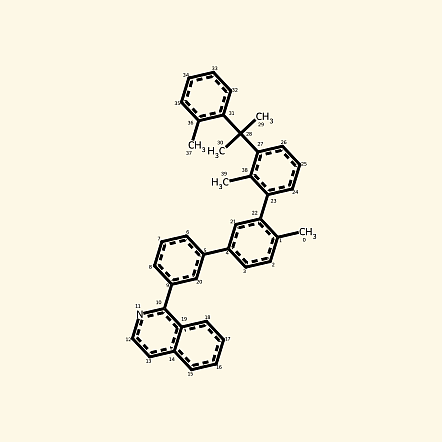 Cc1ccc(-c2cccc(-c3nccc4ccccc34)c2)cc1-c1cccc(C(C)(C)c2ccccc2C)c1C